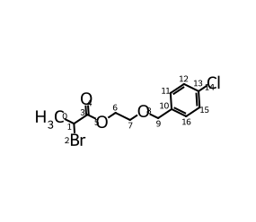 CC(Br)C(=O)OCCOCc1ccc(Cl)cc1